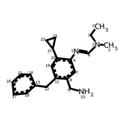 CCN(C)C=Nc1cc(CN)c(Cc2ccccc2)cc1C1CC1